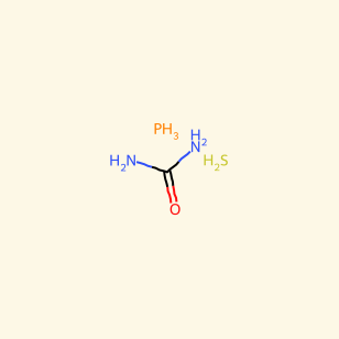 NC(N)=O.P.S